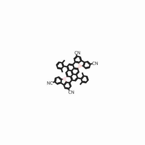 Cc1cccc(C)c1-c1cc2c3c(cc4c(-c5c(C)cccc5C)cc5c6c(cc1c3c46)B1c3ccc(C#N)cc3-c3cc(C#N)cc-5c31)B1c3ccc(C#N)cc3-c3cc(C#N)cc-2c31